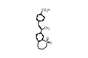 CC(=Cc1ccc(C(=O)O)cc1)c1ccc2c(c1)S(=O)(=O)CCCC2